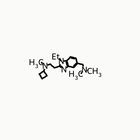 CCn1c(CCN(C)C2CCC2)nc2cc(CN(C)C)ccc21